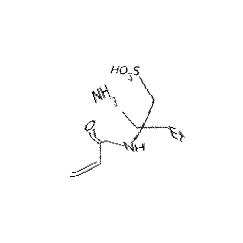 C=CC(=O)NC(C)(CC)CS(=O)(=O)O.N